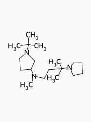 CN(CCC(C)(C)N1CCCC1)C1CCN(C(C)(C)C)C1